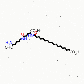 N[C@H](C=O)CCCCNC(=O)CC[C@H](NC(=O)CCCCCCCCCCCCCCCCC(=O)O)C(=O)O